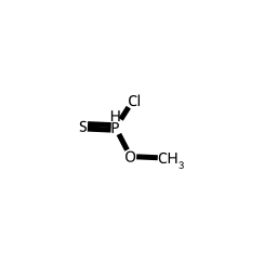 CO[PH](=S)Cl